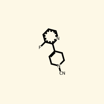 N#CN1CC=C(c2ncccc2F)CC1